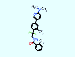 CN(C)c1ccc(-c2ccc(C(F)(F)CNC(=O)c3ccccc3C(F)(F)F)c(C(F)(F)F)c2)cn1